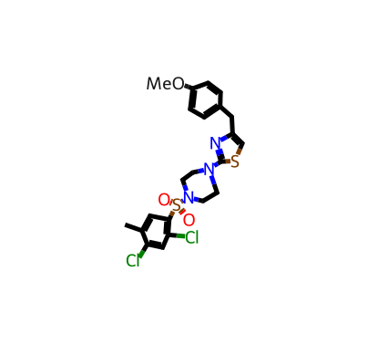 COc1ccc(Cc2csc(N3CCN(S(=O)(=O)c4cc(C)c(Cl)cc4Cl)CC3)n2)cc1